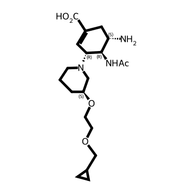 CC(=O)N[C@H]1[C@H](N2CCC[C@H](OCCOCC3CC3)C2)C=C(C(=O)O)C[C@@H]1N